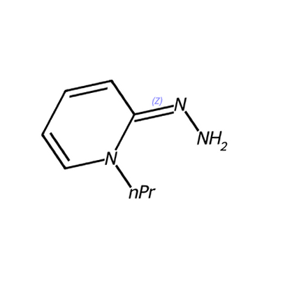 CCCn1cccc/c1=N/N